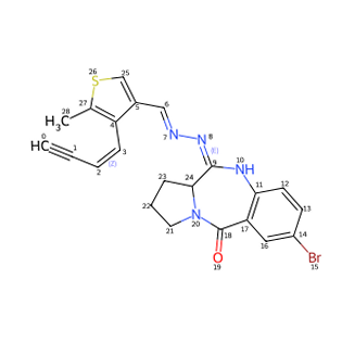 C#C/C=C\c1c(C=N/N=C2/Nc3ccc(Br)cc3C(=O)N3CCCC23)csc1C